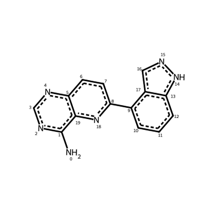 Nc1ncnc2ccc(-c3cccc4[nH]ncc34)nc12